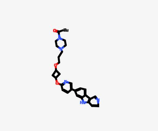 CCC(C)C(=O)N1CCN(CCCOC2CC(Oc3ccc(-c4ccc5c(c4)[nH]c4ccncc45)cn3)C2)CC1